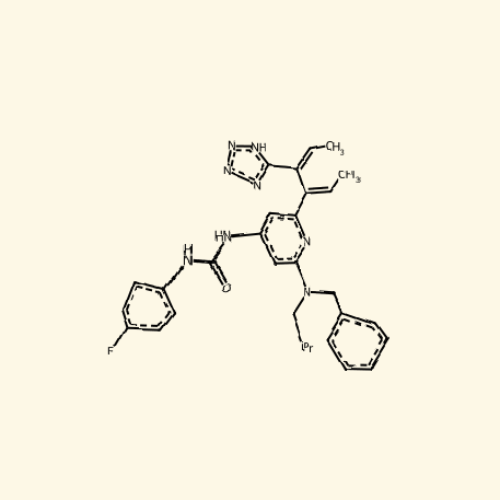 C/C=C(\C(=C/C)c1nnn[nH]1)c1cc(NC(=O)Nc2ccc(F)cc2)cc(N(Cc2ccccc2)CC(C)C)n1